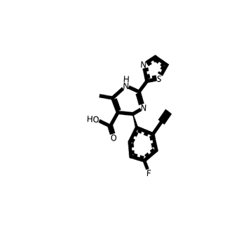 C#Cc1cc(F)ccc1[C@@H]1N=C(c2nccs2)NC(C)=C1C(=O)O